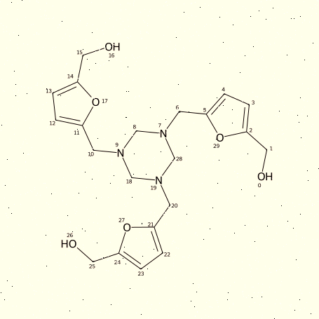 OCc1ccc(CN2CN(Cc3ccc(CO)o3)CN(Cc3ccc(CO)o3)C2)o1